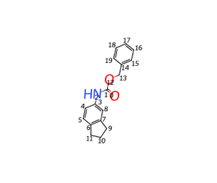 O=C(Nc1ccc2c(c1)CCC2)OCc1ccccc1